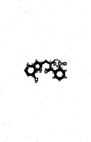 CN(Cc1cc2nccc(Cl)c2s1)C(=O)c1ccccc1C=O